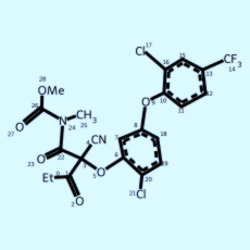 CCC(=O)C(C#N)(Oc1cc(Oc2ccc(C(F)(F)F)cc2Cl)ccc1Cl)C(=O)N(C)C(=O)OC